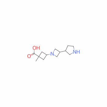 CC1(C(=O)O)CC(N2CC(C3CCNC3)C2)C1